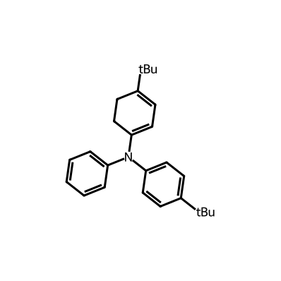 CC(C)(C)C1=CC=C(N(c2ccccc2)c2ccc(C(C)(C)C)cc2)CC1